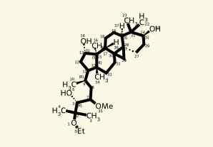 CCOC(C)(C)[C@H](O)C(C[C@@H](C)C1C[C@H](O)[C@@]2(C)[C@@H]3CC[C@H]4C(C)(C)[C@@H](O)CC[C@@]45CC35CC[C@]12C)OC